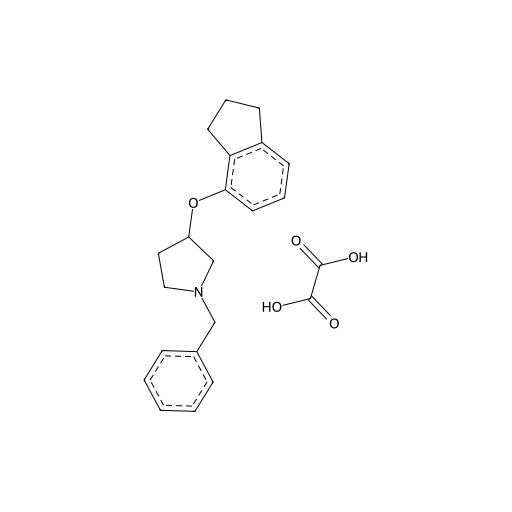 O=C(O)C(=O)O.c1ccc(CN2CCC(Oc3cccc4c3CCC4)C2)cc1